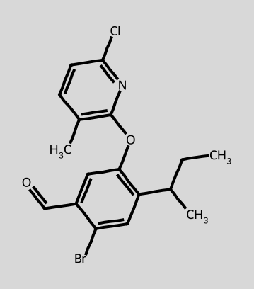 CCC(C)c1cc(Br)c(C=O)cc1Oc1nc(Cl)ccc1C